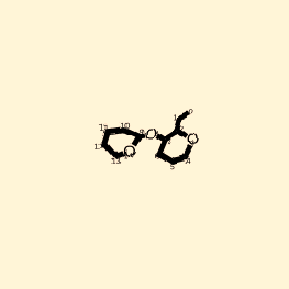 CCC1OCCCC1OC1CCCCO1